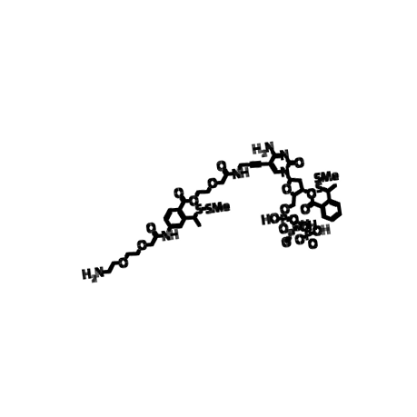 CSSC(C)c1cc(NC(=O)COCCOCCN)ccc1C(=O)OCCOCC(=O)NCC#Cc1cn([C@H]2C[C@@H](OC(=O)c3ccccc3C(C)SSC)C(COP(=O)(O)OP(=O)(O)OP(=O)(O)O)O2)c(=O)nc1N